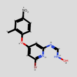 Cc1cc([N+](=O)[O-])ccc1Oc1cc(Br)nc(/N=C\NO)c1